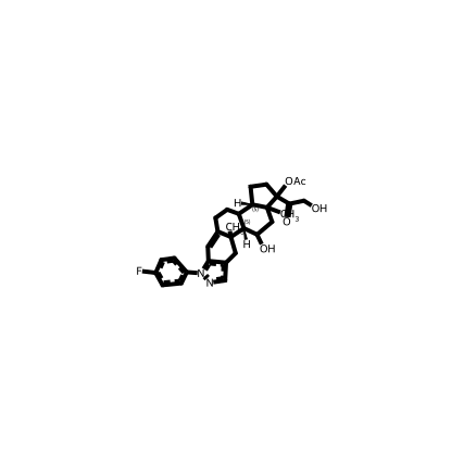 CC(=O)OC1(C(=O)CO)CC[C@H]2C3CCC4=Cc5c(cnn5-c5ccc(F)cc5)CC4(C)[C@H]3C(O)CC21C